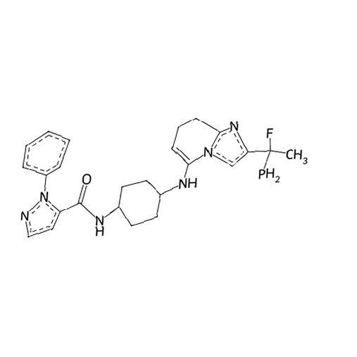 CC(F)(P)c1cn2c(n1)CCC=C2NC1CCC(NC(=O)c2ccnn2-c2ccccc2)CC1